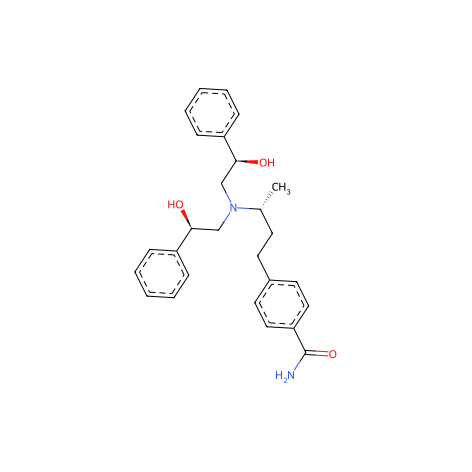 C[C@H](CCc1ccc(C(N)=O)cc1)N(C[C@H](O)c1ccccc1)C[C@H](O)c1ccccc1